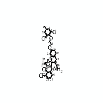 Cc1cc(Cl)c(OCCOc2ccc(CC(CN)C(=O)N(Cc3cccc(Cl)c3Cl)CC(F)(F)F)cc2)c(Cl)c1